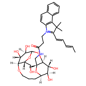 C/C=C/C=C/C1=[N+](CCC(=O)NC[C@H]2O[C@@H]3CCCO[C@H]4[C@H](O)[C@@H](O)C(O[C@H]2[C@H](O)[C@H]3O)O[C@@H]4CO)c2ccc3ccccc3c2C1(C)C